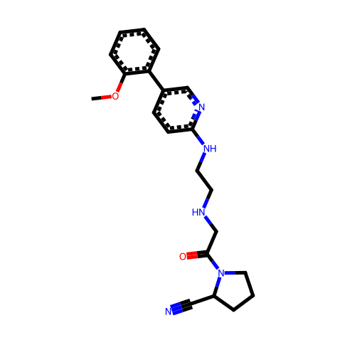 COc1ccccc1-c1ccc(NCCNCC(=O)N2CCCC2C#N)nc1